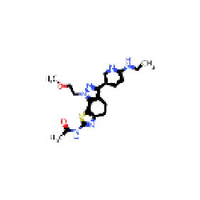 CCNc1ccc(-c2nn(CCOC)c3c2CCc2nc(NC(C)=O)sc2-3)cn1